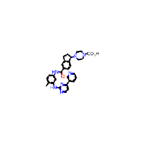 Cc1ccc(NC(=O)c2ccc3c(c2)CCC3N2CCN(C(=O)O)CC2)cc1Nc1nccc(-c2cccnc2)n1